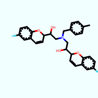 Cc1ccc(CN(CC(O)C2C=Cc3cc(F)ccc3O2)CC(O)C2C=Cc3cc(F)ccc3O2)cc1